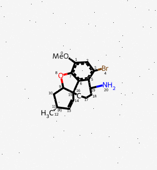 COc1cc(Br)c2c3c1OC1C[C@@H](C)C=CC31CCCC2N